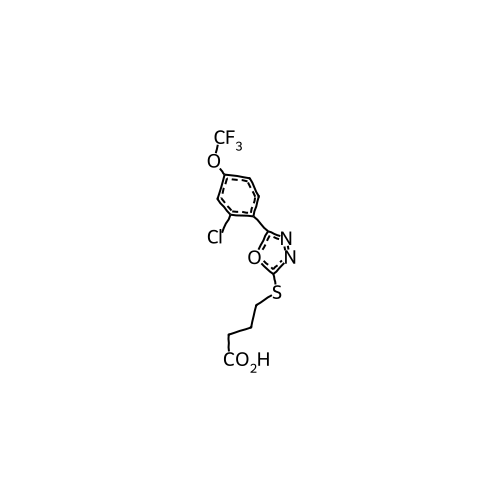 O=C(O)CCCSc1nnc(-c2ccc(OC(F)(F)F)cc2Cl)o1